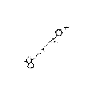 O=C(CCCc1nc(-c2ccc(OC(F)(F)F)cc2)no1)NCCNc1n[nH]c(=O)c2ccccc12